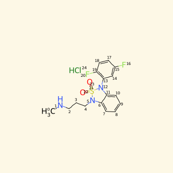 CNCCCN1c2ccccc2N(c2cc(F)ccc2F)S1(=O)=O.Cl